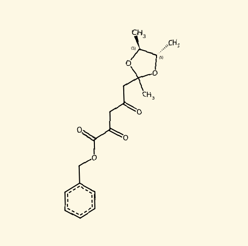 C[C@@H]1OC(C)(CC(=O)CC(=O)C(=O)OCc2ccccc2)O[C@H]1C